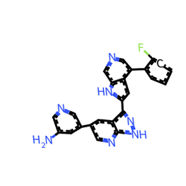 Nc1cncc(-c2cnc3[nH]nc(-c4cc5c(-c6ccccc6F)cncc5[nH]4)c3c2)c1